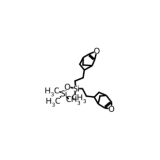 C[Si](C)(C)O[Si](C)(CCC1CC2CC1C1=C2O1)CCC1CC2CC1C1=C2O1